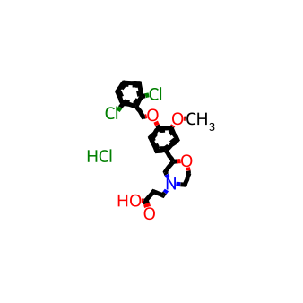 COc1cc(C2CN(CCC(=O)O)CCO2)ccc1OCc1c(Cl)cccc1Cl.Cl